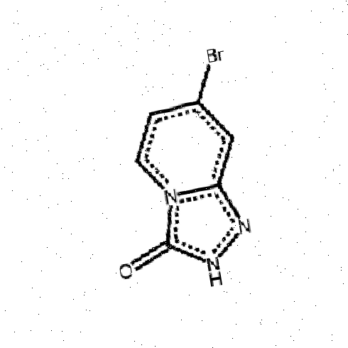 O=c1[nH]nc2cc(Br)ccn12